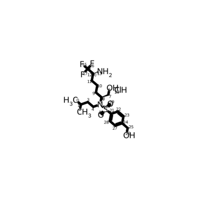 CC(C)CCN([C@H](CO)CCC[C@@H](N)C(F)(F)F)S(=O)(=O)c1ccc(CO)cc1.Cl